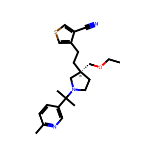 CCOC[C@]1(CCc2cscc2C#N)CCN(C(C)(C)c2ccc(C)nc2)C1